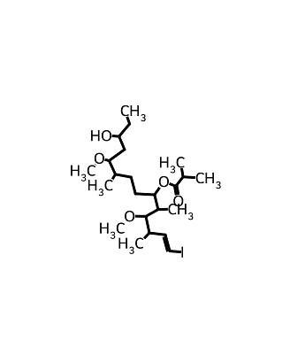 CCC(O)CC(OC)C(C)CCC(OC(=O)C(C)C)C(C)C(OC)C(C)C=CI